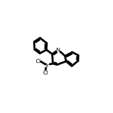 [Cl][Ir]([Cl])[c]1cc2ccccc2nc1-c1ccccc1